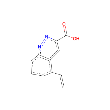 C=Cc1cccc2nnc(C(=O)O)cc12